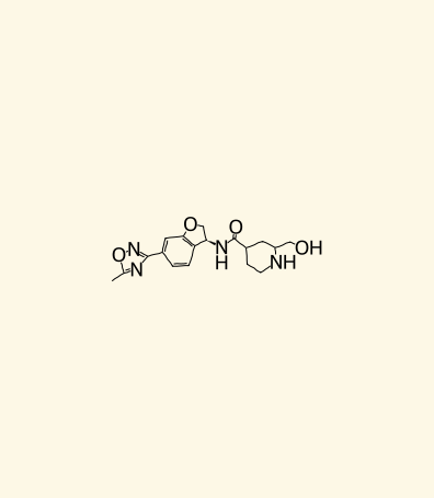 Cc1nc(-c2ccc3c(c2)OC[C@H]3NC(=O)C2CCNC(CO)C2)no1